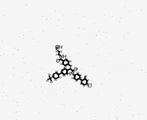 Cc1cc(Cl)ccc1-c1ccc(NC(=O)[C@H](Cc2ccc(C(=O)NCCSO)cc2)c2ccc(C3=CC[C@@H](C(C)(C)C)CC3)cc2)cc1